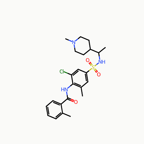 Cc1ccccc1C(=O)Nc1c(C)cc(S(=O)(=O)NC(C)C2CCN(C)CC2)cc1Cl